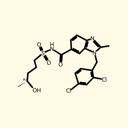 Cc1nc2ccc(C(=O)NS(=O)(=O)CCC[C@@H](C)O)cc2n1Cc1ccc(Cl)cc1Cl